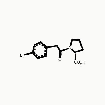 O=C(O)[C@@H]1CCCN1C(=O)Cc1ccc(Br)cc1